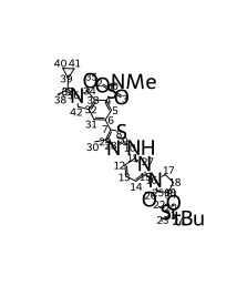 CNS(=O)(=O)c1cc(-c2sc(Nc3cccc(N4CC[C@@H](O[Si](C)(C)C(C)(C)C)C4=O)n3)nc2C)cc2c1C(=O)N([C@@H](C)C1CC1)C2